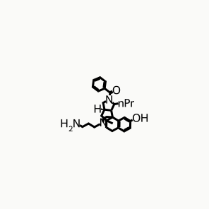 CCCC1C2[C@@H](CN1C(=O)c1ccccc1)CC1(C)C3Cc4ccc(O)cc4C21CCN3CCCN